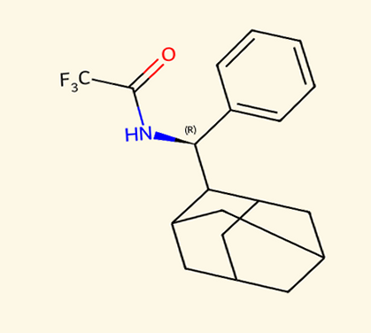 O=C(N[C@@H](c1ccccc1)C1C2CC3CC(C2)CC1C3)C(F)(F)F